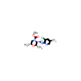 C[C@@H]1CN(C(=O)OC(C)(C)C)[C@H](CNc2ncc(C(F)(F)F)cc2Cl)[C@H](C)O1